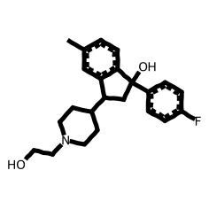 Cc1ccc2c(c1)C(C1CCN(CCO)CC1)CC2(O)c1ccc(F)cc1